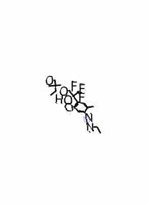 CCN(C)/C=N/c1cc(OC)c(C(O)(COCC2(CC)COC2)C(F)(F)F)cc1C